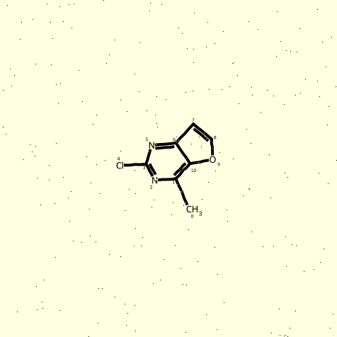 Cc1nc(Cl)nc2ccoc12